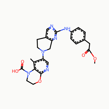 COC(=O)Cc1ccc(Nc2ncc3c(n2)CN(c2cnc4c(c2C)N(C(=O)O)CCO4)CC3)cc1